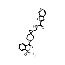 CS(=O)(=O)c1ccccc1C(=O)N1CCC2(CC1)CC2CNC(=O)c1cc2ccncc2o1